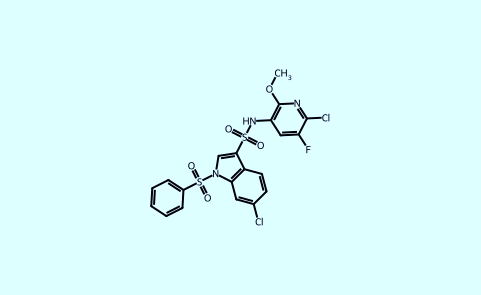 COc1nc(Cl)c(F)cc1NS(=O)(=O)c1cn(S(=O)(=O)c2ccccc2)c2cc(Cl)ccc12